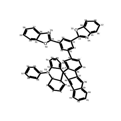 C1=CC2C(C=C1)C1(c3cc(-c4cc(-c5nc6ccccc6o5)cc(-c5nc6ccccc6o5)c4)ccc3-c3cc4ccccc4cc31)c1ccccc1N2c1ccccc1